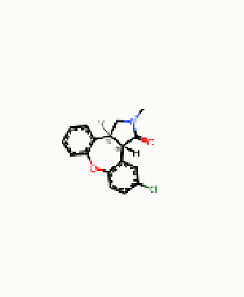 CN1C[C@@H]2c3ccccc3Oc3ccc(Cl)cc3[C@H]2C1=O